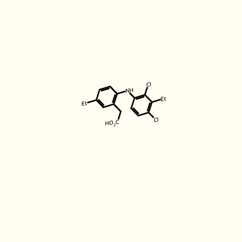 CCc1ccc(Nc2ccc(Cl)c(CC)c2Cl)c(CC(=O)O)c1